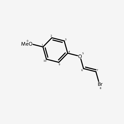 COc1ccc(OC=CBr)cc1